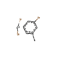 [Br][Zn][Br].[CH2]c1cccc(Br)c1